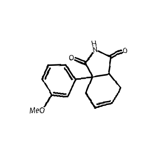 COc1cccc(C23CC=CCC2C(=O)NC3=O)c1